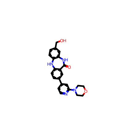 O=C1Nc2cc(CO)ccc2Nc2ccc(-c3ccnc(N4CCOCC4)c3)cc21